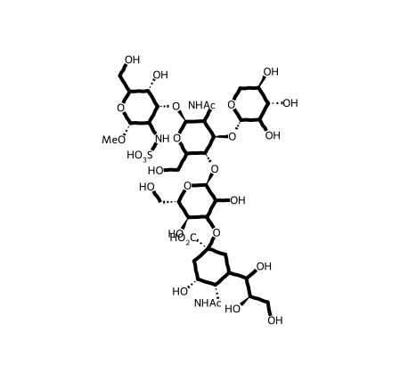 CO[C@@H]1OC(CO)[C@H](O)[C@H](O[C@@H]2OC(CO)[C@@H](O[C@@H]3O[C@@H](CO)[C@H](O)C(O[C@@]4(C(=O)O)CC(C(O)[C@H](O)CO)[C@H](NC(C)=O)[C@H](O)C4)C3O)[C@H](O[C@@H]3OC[C@@H](O)[C@H](O)C3O)C2NC(C)=O)C1NS(=O)(=O)O